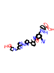 Cc1c(Nc2nccc3cc(CN4CCC(O)C4)cnc23)cccc1-c1cccc(-c2nc3cc(CN[C@@H]4CC[C@H](C(=O)O)C4)cc(C#N)c3o2)c1C